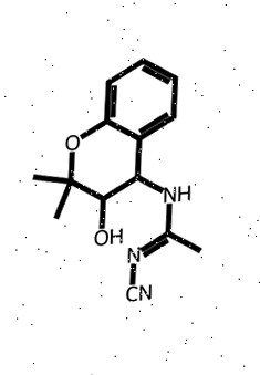 CC(=NC#N)NC1c2ccccc2OC(C)(C)C1O